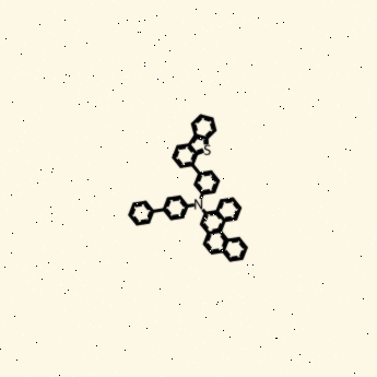 c1ccc(-c2ccc(N(c3cccc(-c4cccc5c4sc4ccccc45)c3)c3cc4ccc5ccccc5c4c4ccccc34)cc2)cc1